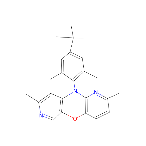 Cc1cc2c(cn1)Oc1ccc(C)nc1N2c1c(C)cc(C(C)(C)C)cc1C